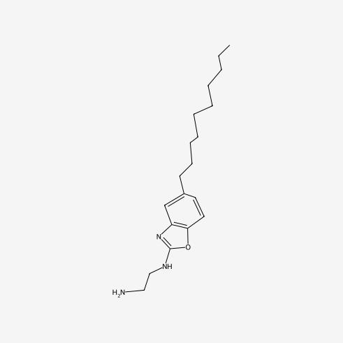 CCCCCCCCCCc1ccc2oc(NCCN)nc2c1